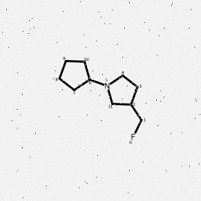 FCC1CCN(C2CCCC2)C1